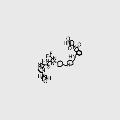 O=C1CCC(N2Cc3c(NCC4CCN(CC5CCC([C@@H]6N=C(NC(=O)c7cnn8ccc(N9C[C@H]%10C[C@@H]9CO%10)nc78)C(C(F)F)=N6)CC5)CC4)cccc3C2=O)C(=O)N1